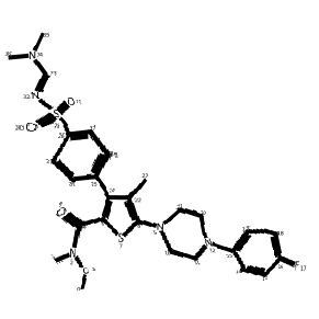 CON(C)C(=O)c1sc(N2CCN(c3ccc(F)cc3)CC2)c(C)c1-c1ccc(S(=O)(=O)N=CN(C)C)cc1